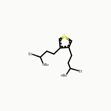 CCCCC(CC)CCc1cscc1CCC(CC)CCCC